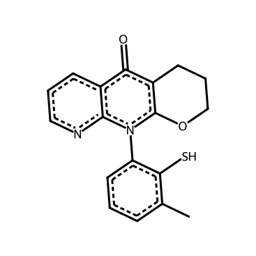 Cc1cccc(-n2c3c(c(=O)c4cccnc42)CCCO3)c1S